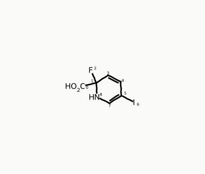 O=C(O)C1(F)C=CC(I)=CN1